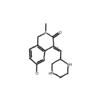 CN1Cc2ccc(Cl)cc2/C(=C\C2CNCCN2)C1=O